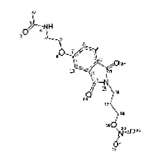 CC(=O)NCCOc1ccc2c(c1)C(=O)N(CCCO[N+](=O)[O-])C2=O